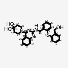 OCc1ccccc1Sc1ccccc1CNc1nc(N2CCC(O)(O)CC2)c2ccccc2n1